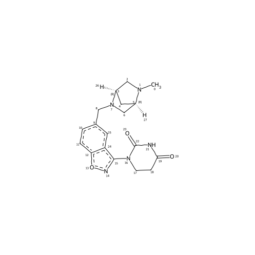 CN1C[C@H]2C[C@@H]1CN2Cc1ccc2onc(N3CCC(=O)NC3=O)c2c1